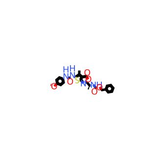 COc1ccc(NC(=O)Nc2sc3nc([C@H](C)NC(=O)OCc4ccccc4)oc(=O)c3c2C)cc1